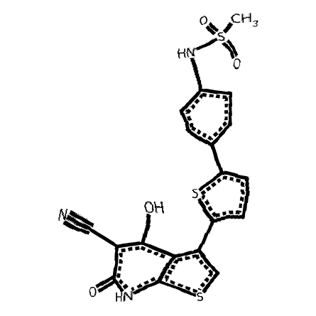 CS(=O)(=O)Nc1ccc(-c2ccc(-c3csc4[nH]c(=O)c(C#N)c(O)c34)s2)cc1